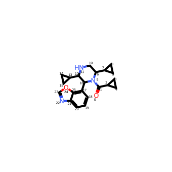 O=C(C1CC1)N1C(C2CC2)CNC(C2[CH]C2)C1c1cccc2ncoc12